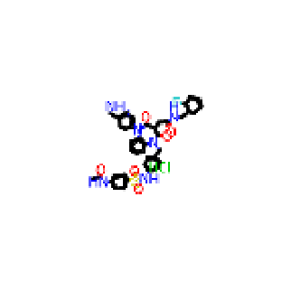 CC(=O)Nc1ccc(S(=O)(=O)Nc2ccc(CN3C(=O)C(CC(=O)NCc4ccccc4F)C(=O)N(c4ccc(CN)cc4)c4ccccc43)cc2)cc1.Cl